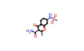 Cc1oc2cc(NS(C)(=O)=O)ccc2c(=O)c1C(N)=O